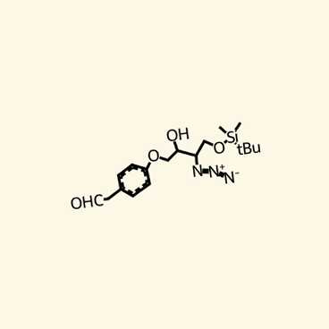 CC(C)(C)[Si](C)(C)OCC(N=[N+]=[N-])C(O)COc1ccc(CC=O)cc1